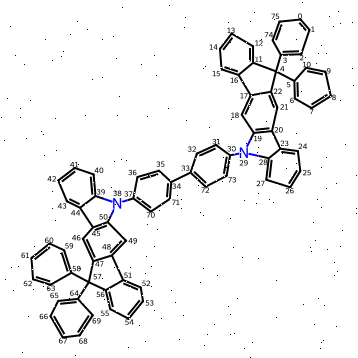 c1ccc(C2(c3ccccc3)c3ccccc3-c3cc4c(cc32)c2ccccc2n4-c2ccc(-c3ccc(-n4c5ccccc5c5cc6c(cc54)-c4ccccc4C6(c4ccccc4)c4ccccc4)cc3)cc2)cc1